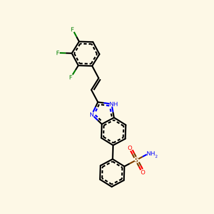 NS(=O)(=O)c1ccccc1-c1ccc2[nH]c(C=Cc3ccc(F)c(F)c3F)nc2c1